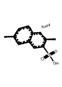 Cc1ccc2cc(C)c(S(=O)(=O)O)cc2c1.[NaH]